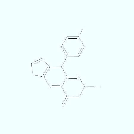 CC1CC(=O)C2=Nc3occc3C(c3ccc(F)cc3)C2=N1